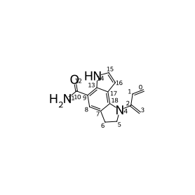 C=CC(=C)N1CCc2cc(C(N)=O)c3[nH]ccc3c21